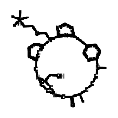 CC1CCCN(C)c2ccc(cn2)-c2ccnc(n2)N(COCC[SH](C)(C)(C)C)c2cccc(c2)CN2CCN(CC1=O)CC2CO